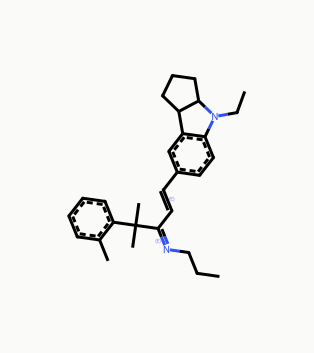 CCC/N=C(\C=C\c1ccc2c(c1)C1CCCC1N2CC)C(C)(C)c1ccccc1C